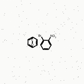 O=[N+]([O-])c1ccccc1Br.c1cc2ccc1CO2